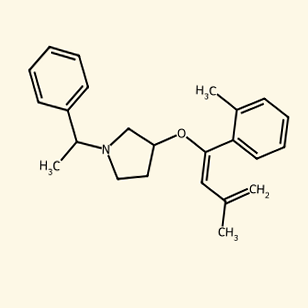 C=C(C)/C=C(/OC1CCN(C(C)c2ccccc2)C1)c1ccccc1C